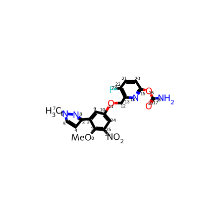 COc1c(-c2ccn(C)n2)cc(OCc2nc(OC(N)=O)ccc2F)cc1[N+](=O)[O-]